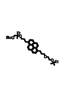 CCC(C)OCC(C)(CC)OCCCc1ccc2ccc3c(CCCOCCOC(C)(C)CC)ccc4ccc1c2c43